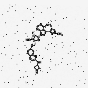 Cn1ccc(-c2cn([C@@H]3O[C@H](COc4ccc5ccc(NC6CNC6)nc5c4)[C@@H](O)[C@@H]3F)c3ncnc(N)c23)n1